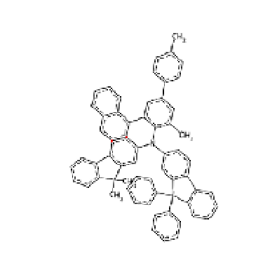 Cc1ccc(-c2cc(C)c(N(c3ccc4c(c3)C(C)(C)c3ccccc3-4)c3ccc4c(c3)C(c3ccccc3)(c3ccccc3)c3ccccc3-4)c(-c3cccc4ccccc34)c2)cc1